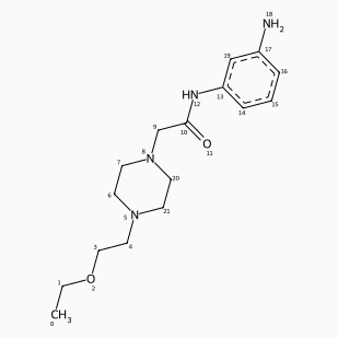 CCOCCN1CCN(CC(=O)Nc2cccc(N)c2)CC1